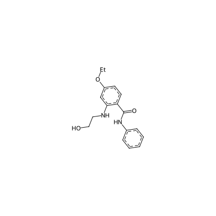 CCOc1ccc(C(=O)Nc2ccccc2)c(NCCO)c1